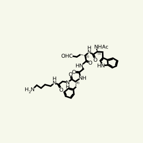 CC(=O)N[C@@H](Cc1c[nH]c2ccccc12)C(=O)N[C@@H](CCC=O)C(=O)NCC(=O)N[C@H](Cc1ccccc1)C(=O)NCC(=O)NCCCCN